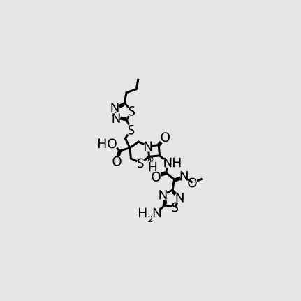 CCCc1nnc(SCC2(C(=O)O)CS[C@@H]3C(NC(=O)C(=NOC)c4nsc(N)n4)C(=O)N3C2)s1